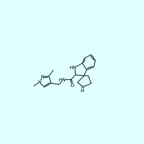 Cc1nn(C)cc1CNC(=O)C1Nc2ccccc2C12CCNC2